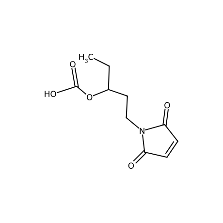 CCC(CCN1C(=O)C=CC1=O)OC(=O)O